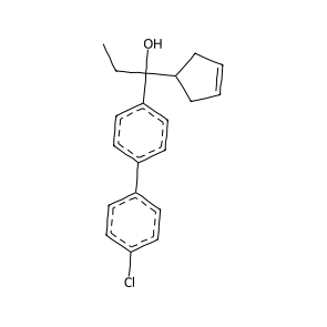 CCC(O)(c1ccc(-c2ccc(Cl)cc2)cc1)C1CC=CC1